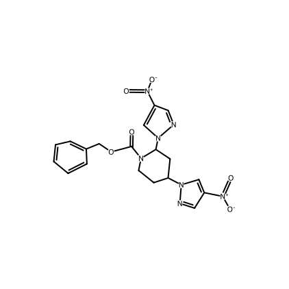 O=C(OCc1ccccc1)N1CCC(n2cc([N+](=O)[O-])cn2)CC1n1cc([N+](=O)[O-])cn1